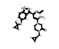 C=C/N=C(\C=C(/N)N1CCN(CC2CC2)C(=O)C1)c1n[nH]c2ccc(OC3(C)CC3)cc12